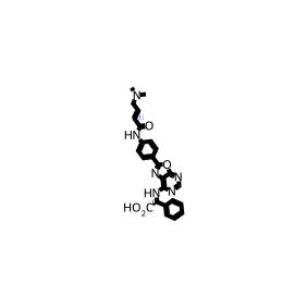 CN(C)C/C=C/C(=O)Nc1ccc(-c2nc3c(N[C@H](C(=O)O)c4ccccc4)ncnc3o2)cc1